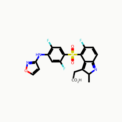 CC1N=c2ccc(F)c(S(=O)(=O)c3cc(F)c(Nc4ccon4)cc3F)c2=C1CC(=O)O